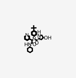 CC(C)(C)c1ccc(N(C(=O)[C@H]2C[C@@H](O)CN2)C(C(=O)NC2CCCCC2)c2cccnc2)cc1